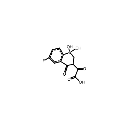 O=C(O)C(=O)C1CS(O)(O)c2ccc(F)cc2C1=O